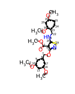 COC(=O)c1c(OCc2cc(OC)cc(OC)c2)nsc1NCc1ccc(OC)cc1OC